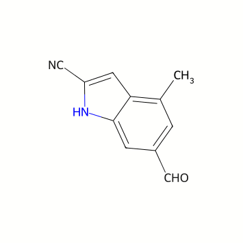 Cc1cc(C=O)cc2[nH]c(C#N)cc12